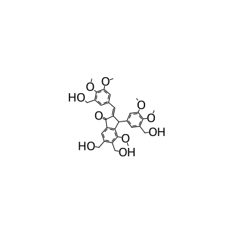 COc1cc(/C=C2\C(=O)c3cc(CO)c(CO)c(OC)c3C2c2cc(CO)c(OC)c(OC)c2)cc(CO)c1OC